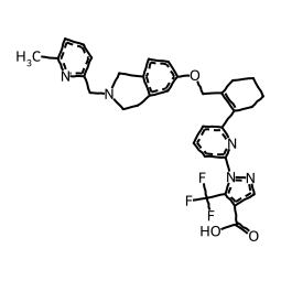 Cc1cccc(CN2CCc3cc(OCC4=C(c5cccc(-n6ncc(C(=O)O)c6C(F)(F)F)n5)CCCC4)ccc3C2)n1